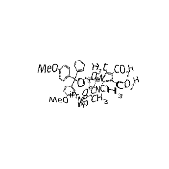 COc1ccc(C(OC[C@H]2O[C@@H](n3c(C)c(C(=O)O)c(C(=O)O)c3C)C[C@@H]2OP(=O)(C(C)C#N)N(C(C)C)C(C)C)(c2ccccc2)c2ccc(OC)cc2)cc1